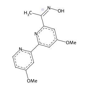 COc1ccnc(-c2cc(OC)cc(/C(C)=N\O)n2)c1